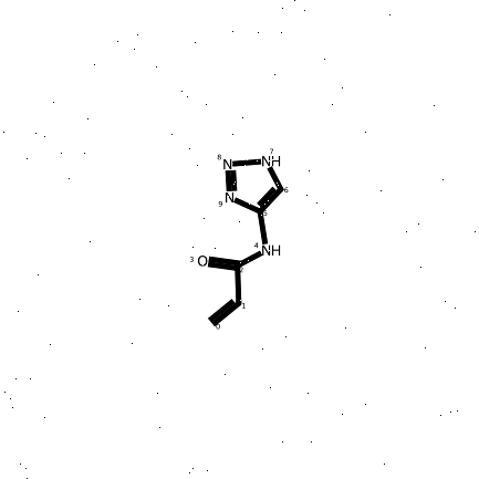 C=CC(=O)Nc1c[nH]nn1